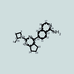 C[C@H]1CCN1c1nc2c(c(-c3ccc4c(N)nccc4c3)n1)CCC2